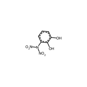 O=[N+]([O-])N(c1cccc(O)c1O)[N+](=O)[O-]